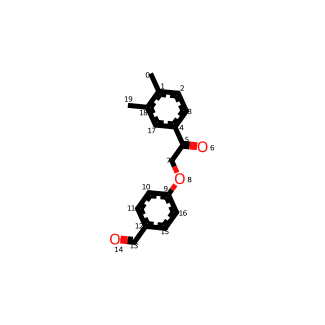 Cc1ccc(C(=O)COc2ccc(C=O)cc2)cc1C